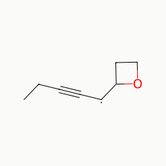 CCC#C[CH]C1CCO1